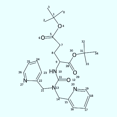 CC(C)(C)OC(=O)CCC(NC(=O)N(Cc1ccccn1)Cc1ccccn1)C(=O)OC(C)(C)C